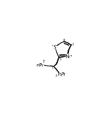 CCCC(CCC)c1nccs1